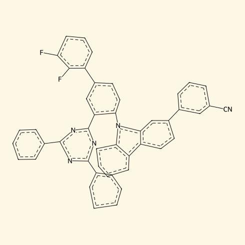 N#Cc1cccc(-c2ccc3c4ccccc4n(-c4ccc(-c5cccc(F)c5F)cc4-c4nc(-c5ccccc5)nc(-c5ccccc5)n4)c3c2)c1